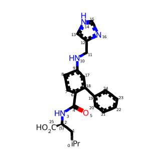 CC(C)C[C@H](NC(=O)c1ccc(NCc2c[nH]cn2)cc1-c1ccccc1)C(=O)O